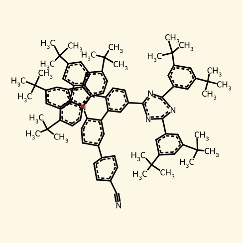 CC(C)(C)c1cc(-c2nc(-c3cc(C(C)(C)C)cc(C(C)(C)C)c3)nc(-c3ccc(-n4c5ccc(C(C)(C)C)cc5c5cc(C(C)(C)C)ccc54)c(-c4cc(-c5ccc(C#N)cc5)ccc4-n4c5ccc(C(C)(C)C)cc5c5cc(C(C)(C)C)ccc54)c3)n2)cc(C(C)(C)C)c1